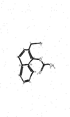 CC(=O)Oc1c(CBr)ccc2ccccc12